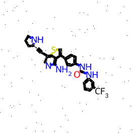 Nc1ncc(C#C[C@@H]2CCCN2)c2scc(-c3ccc(NC(=O)Nc4cccc(C(F)(F)F)c4)cc3)c12